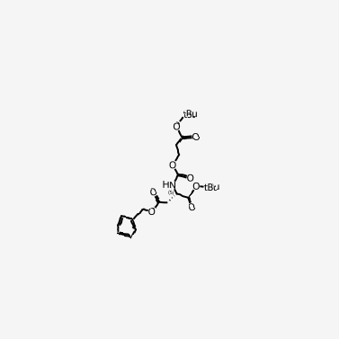 CC(C)(C)OC(=O)CCOC(=O)N[C@@H](CC(=O)OCc1ccccc1)C(=O)OC(C)(C)C